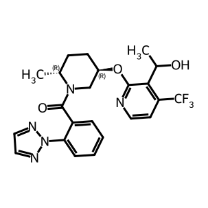 CC(O)c1c(C(F)(F)F)ccnc1O[C@@H]1CC[C@@H](C)N(C(=O)c2ccccc2-n2nccn2)C1